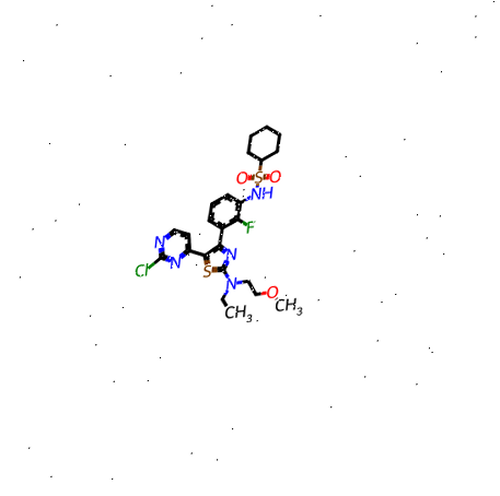 CCN(CCOC)c1nc(-c2cccc(NS(=O)(=O)C3CCCCC3)c2F)c(-c2ccnc(Cl)n2)s1